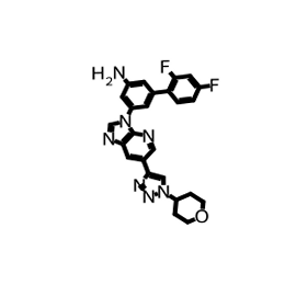 Nc1cc(-c2ccc(F)cc2F)cc(-n2cnc3cc(-c4cn(C5CCOCC5)nn4)cnc32)c1